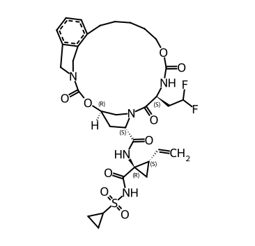 C=C[C@@H]1C[C@]1(NC(=O)[C@@H]1C[C@@H]2CN1C(=O)[C@H](CC(F)F)NC(=O)OCCCCCc1cccc3c1CN(C3)C(=O)O2)C(=O)NS(=O)(=O)C1CC1